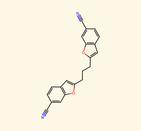 N#Cc1ccc2cc(CCCc3cc4ccc(C#N)cc4o3)oc2c1